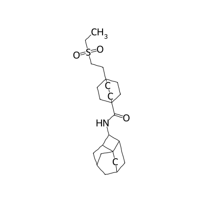 CCS(=O)(=O)CCC12CCC(C(=O)NC3C4CC5CC6CC3C4(C5)C6)(CC1)CC2